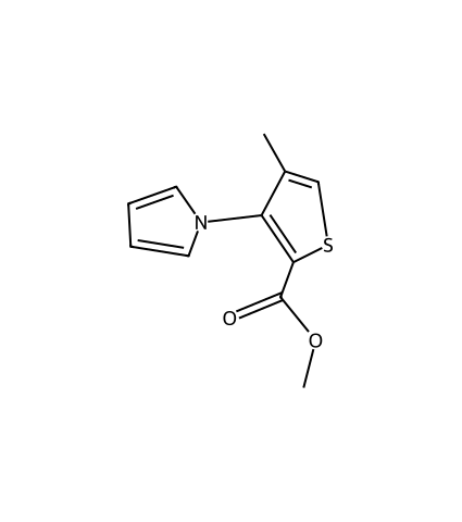 COC(=O)c1scc(C)c1-n1cccc1